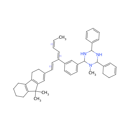 C\C=C/C=C(\C=C\C1=CC2=C(CC1)C1=C(CCCC1)C2(C)C)c1cccc(C2NC(c3ccccc3)NC(C3=CC=CCC3)N2C)c1